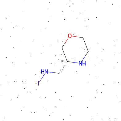 INC[C@@H]1COCCN1